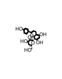 OC[C@@H]1C[C@H](O)[C@@H](O)[C@H](C2C(O)=CC(O)=C3CC=C(c4ccc(O)cc4)OC32)O1